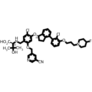 CC(C)(O)[C@H](NCc1cc(Cl)c(O[C@H]2CCc3c(-c4cccc(OCCCN5CCC(F)CC5)c4Cl)cccc32)cc1OCc1cncc(C#N)c1)C(=O)O